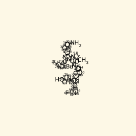 CC(C)(C)N(C(=O)O[C@]1(C)CCCN(c2nc(OC[C@@]34CCCN3C[C@H](F)C4)nc3c2COC2(CCc4ccc(N)cc42)C3)C1)c1ccc2c(c1)C1(CC2)Cc2nc(OC[C@@]34CCCN3C[C@H](F)C4)nc(N3CCC[C@@](C)(O)C3)c2CO1